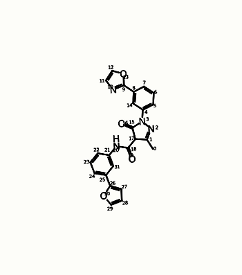 CC1=NN(c2cccc(-c3ncco3)c2)C(=O)C1C(=O)Nc1cccc(-c2ccco2)c1